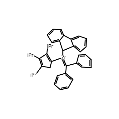 CC(C)C1=C(C(C)C)C(C(C)C)=[C]([Zr](=[C](c2ccccc2)c2ccccc2)[CH]2c3ccccc3-c3ccccc32)C1